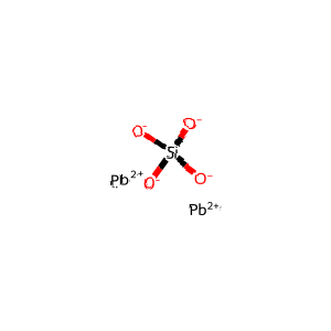 [O-][Si]([O-])([O-])[O-].[Pb+2].[Pb+2]